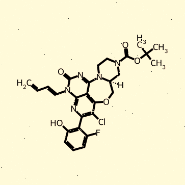 C=C/C=C/n1c(=O)nc2c3c(c(Cl)c(-c4c(O)cccc4F)nc31)OC[C@@H]1CN(C(=O)OC(C)(C)C)CCN21